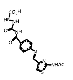 CC(=O)Nc1nc(C=Nc2ccc(C(=O)NC(=O)NNC(=O)O)cc2)cs1